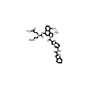 CNCCN(CCC(N)=O)C(=O)Oc1cc2c(c3c(C)cccc13)[C@H](CCl)CN2C(=O)c1cn2cc(NC(=O)c3cc4ccccc4o3)ccc2n1